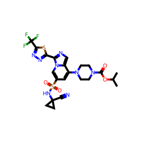 CC(C)OC(=O)N1CCN(c2cc(S(=O)(=O)NC3(C#N)CC3)cn3c(-c4nnc(C(F)(F)F)s4)ncc23)CC1